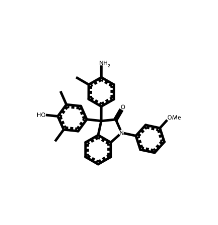 COc1cccc(N2C(=O)C(c3ccc(N)c(C)c3)(c3cc(C)c(O)c(C)c3)c3ccccc32)c1